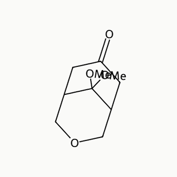 COC1(OC)C2COCC1CC(=O)C2